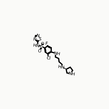 O=S(=O)(Nc1ncns1)c1cc(Cl)c(NCCCCN[C@H]2CCNC2)cc1F